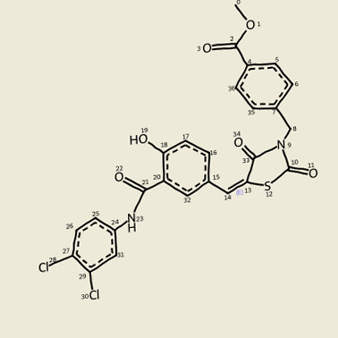 COC(=O)c1ccc(CN2C(=O)S/C(=C/c3ccc(O)c(C(=O)Nc4ccc(Cl)c(Cl)c4)c3)C2=O)cc1